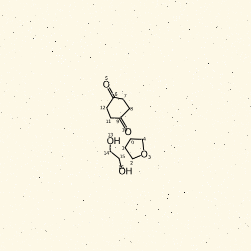 C1CCOC1.O=C1CCC(=O)CC1.OCCO